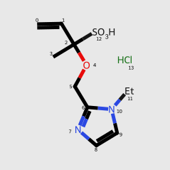 C=CC(C)(OCc1nccn1CC)S(=O)(=O)O.Cl